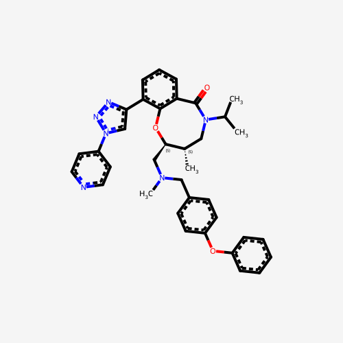 CC(C)N1C[C@H](C)[C@@H](CN(C)Cc2ccc(Oc3ccccc3)cc2)Oc2c(cccc2-c2cn(-c3ccncc3)nn2)C1=O